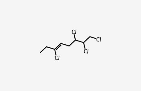 CCC(Cl)=CCC(Cl)C(Cl)CCl